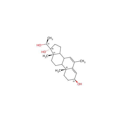 CC1=CC2C(CC[C@@]3(C)C2CC[C@]3(O)[C@H](C)O)[C@@]2(C)CC[C@H](O)C=C12